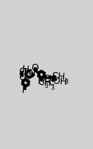 Cc1cc(C(=O)N2CC[C@@]3(c4ccc(F)cc4)OCO[C@H]3C2)ccc1OCC(C)(C)O